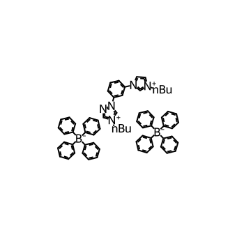 CCCC[n+]1ccn(-c2cccc(-n3c[n+](CCCC)cn3)c2)c1.c1ccc([B-](c2ccccc2)(c2ccccc2)c2ccccc2)cc1.c1ccc([B-](c2ccccc2)(c2ccccc2)c2ccccc2)cc1